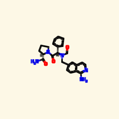 NC(=O)[C@@H]1CCCN1C(=O)[C@@H](c1ccccc1)N(C=O)Cc1ccc2c(N)nccc2c1